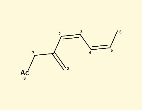 C=C(/C=C\C=C/C)CC(C)=O